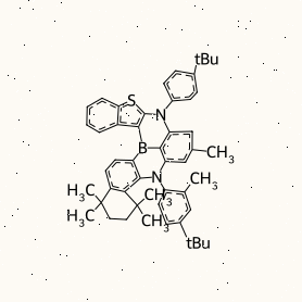 Cc1cc2c3c(c1)N(c1ccc(C(C)(C)C)cc1C)c1c(ccc4c1C(C)(C)CCC4(C)C)B3c1c(sc3ccccc13)N2c1ccc(C(C)(C)C)cc1